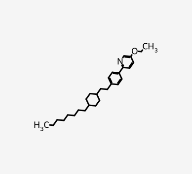 CCCCCCCCC1CCC(CCc2ccc(-c3ccc(OCC)cn3)cc2)CC1